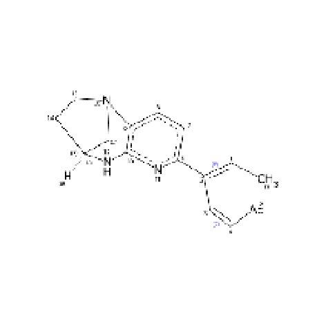 C/C=C(\C=C/C(C)=O)c1ccc2c(n1)N[C@H]1CCN2C1